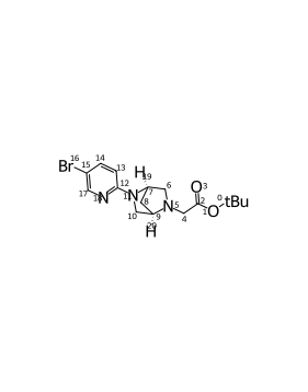 CC(C)(C)OC(=O)CN1C[C@H]2C[C@@H]1CN2c1ccc(Br)cn1